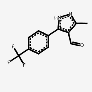 Cc1n[nH]c(-c2ccc(C(F)(F)F)cc2)c1C=O